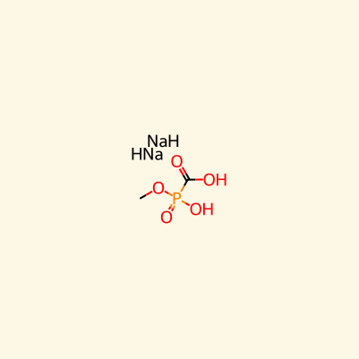 COP(=O)(O)C(=O)O.[NaH].[NaH]